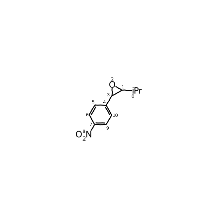 CC(C)C1OC1c1ccc([N+](=O)[O-])cc1